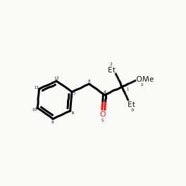 CCC(CC)(OC)C(=O)Cc1ccccc1